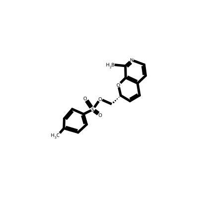 Bc1nccc2c1O[C@@H](COS(=O)(=O)c1ccc(C)cc1)C=C2